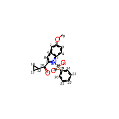 COc1ccc2c(c1)cc(C(=O)C1CC1)n2S(=O)(=O)c1ccccc1